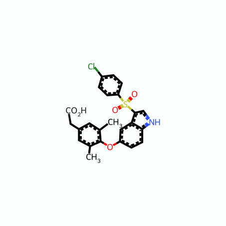 Cc1cc(CC(=O)O)cc(C)c1Oc1ccc2[nH]cc(S(=O)(=O)c3ccc(Cl)cc3)c2c1